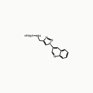 CCCCCCCNCc1cn(-c2cnc3ccccc3c2)nn1